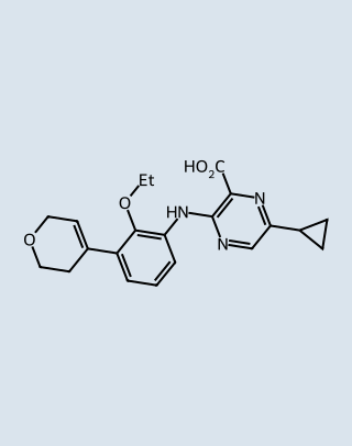 CCOc1c(Nc2ncc(C3CC3)nc2C(=O)O)cccc1C1=CCOCC1